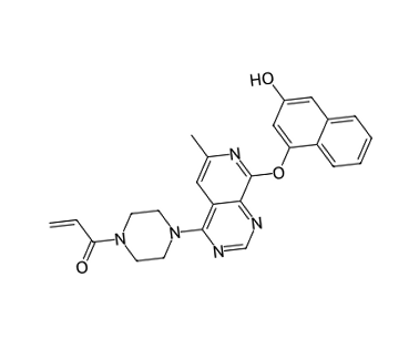 C=CC(=O)N1CCN(c2ncnc3c(Oc4cc(O)cc5ccccc45)nc(C)cc23)CC1